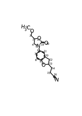 COCC1CN(c2ccc3c(c2)CC(CCC#N)O3)C(=O)O1